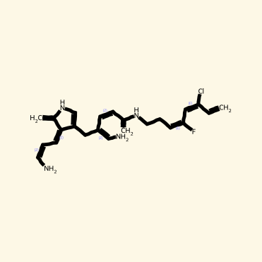 C=C/C(Cl)=C\C(F)=C/CCNC(=C)/C=C\C(=C/N)Cc1c[nH]c(=C)/c1=C\C=C/N